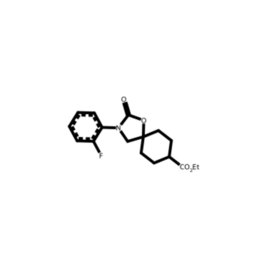 CCOC(=O)C1CCC2(CC1)CN(c1ccccc1F)C(=O)O2